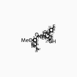 CCC(CO)(CNC(=O)c1cc(OC)c2nnc(C3CC3)cc2c1)c1cc(C(C)(C)O)c(F)c(-c2ccc(F)cc2)n1